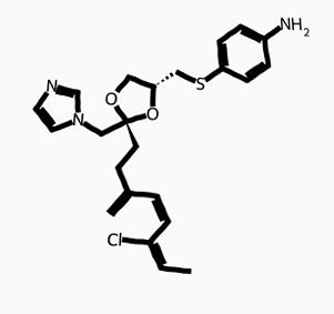 C=C(/C=C\C(Cl)=C/C)CC[C@@]1(Cn2ccnc2)OC[C@H](CSc2ccc(N)cc2)O1